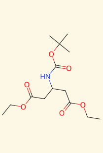 CCOC(=O)CC(CC(=O)OCC)NC(=O)OC(C)(C)C